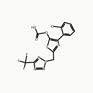 O=C(O)Oc1sc(Cn2nnc(C(F)(F)F)n2)nc1-c1ccccc1Cl